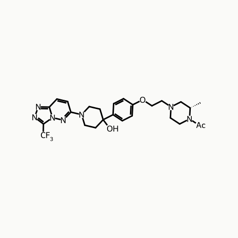 CC(=O)N1CCN(CCOc2ccc(C3(O)CCN(c4ccc5nnc(C(F)(F)F)n5n4)CC3)cc2)C[C@@H]1C